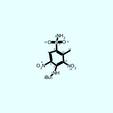 CCC(C)Nc1c([N+](=O)[O-])cc(S(N)(=O)=O)c(C)c1[N+](=O)[O-]